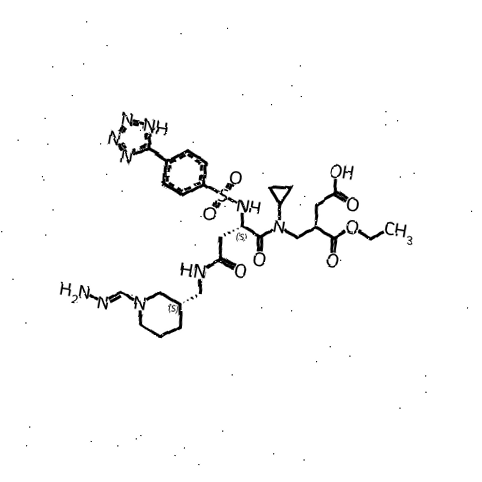 CCOC(=O)C(CC(=O)O)CN(C(=O)[C@H](CC(=O)NC[C@@H]1CCCN(C=NN)C1)NS(=O)(=O)c1ccc(-c2nnn[nH]2)cc1)C1CC1